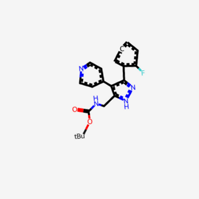 CC(C)(C)OC(=O)NCc1[nH]nc(-c2ccccc2F)c1-c1ccncc1